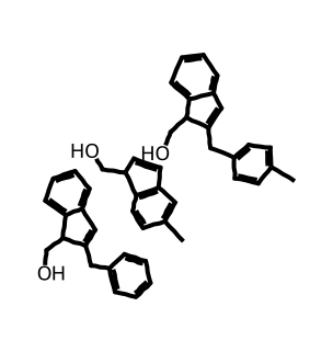 Cc1ccc(CC2=Cc3ccccc3C2CO)cc1.Cc1ccc2c(c1)C=CC2CO.OCC1C(Cc2ccccc2)=Cc2ccccc21